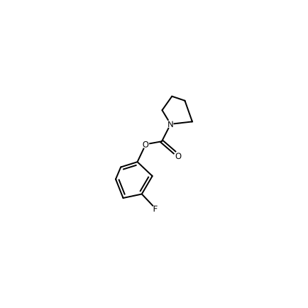 O=C(Oc1cccc(F)c1)N1CCCC1